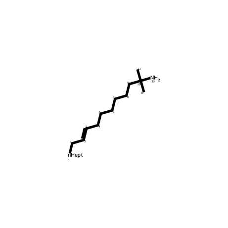 CCCCCCCCC=CCCCCCCC(C)(C)N